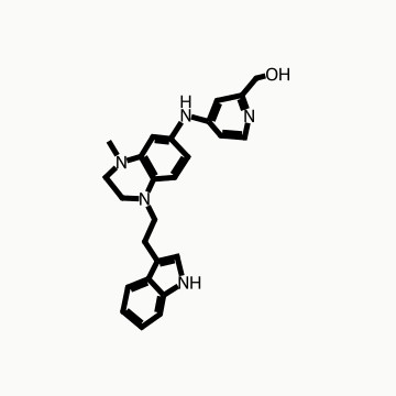 CN1CCN(CCc2c[nH]c3ccccc23)c2ccc(Nc3ccnc(CO)c3)cc21